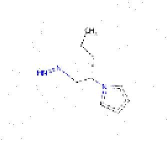 CCC[C@@H](CN=N)n1cccc1